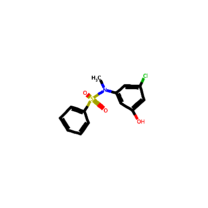 CN(c1cc(O)cc(Cl)c1)S(=O)(=O)c1ccccc1